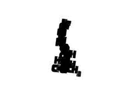 Cc1ccc(Cl)cc1N/C(S)=N/C(=O)Nc1ccc(-c2ncn(-c3ccc(OC(F)(F)F)cc3)n2)cc1